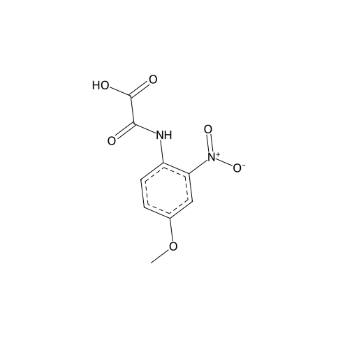 COc1ccc(NC(=O)C(=O)O)c([N+](=O)[O-])c1